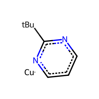 CC(C)(C)c1ncccn1.[Cu]